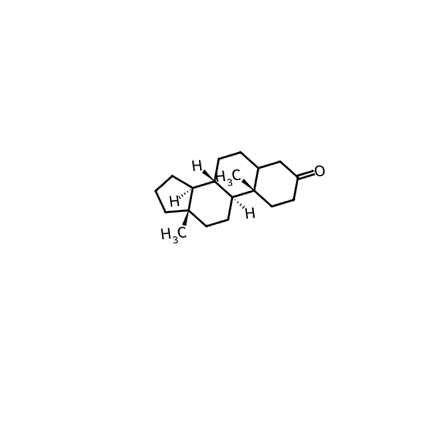 C[C@@]12CCC[C@H]1[C@@H]1CCC3CC(=O)CC[C@]3(C)[C@H]1CC2